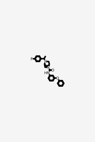 CC(c1ccc(F)cc1)N1CC2CC1CN2C(=O)Nc1cccc(Oc2ccccc2)c1